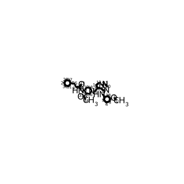 COc1cccc(Nc2ncnn3ccc(CN4CCC(NC(=O)CCc5ccccc5)[C@H](C(C)=O)C4)c23)c1